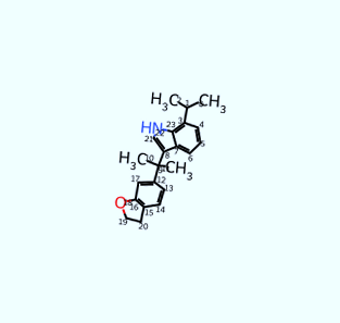 CC(C)c1cccc2c(C(C)(C)c3ccc4c(c3)OCC4)c[nH]c12